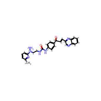 Cc1cccc(N(N)CCNC(=O)Nc2ccc(C(=O)/C=C/c3cnc4ccccc4n3)cc2)n1